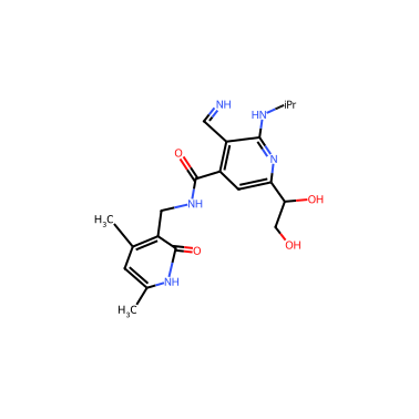 Cc1cc(C)c(CNC(=O)c2cc(C(O)CO)nc(NC(C)C)c2C=N)c(=O)[nH]1